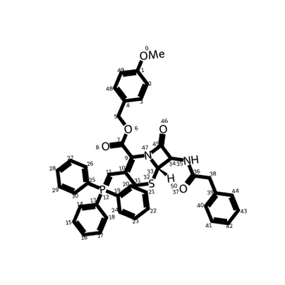 COc1ccc(COC(=O)C2=C(C=P(c3ccccc3)(c3ccccc3)c3ccccc3)CS[C@H]3C(NC(=O)Cc4ccccc4)C(=O)N23)cc1